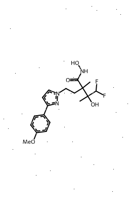 COc1ccc(-c2ccn(CCC(C)(C(=O)NO)C(C)(O)C(F)F)n2)cc1